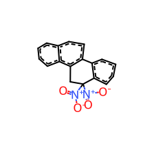 O=[N+]([O-])C1([N+](=O)[O-])Cc2c(ccc3ccccc23)-c2ccccc21